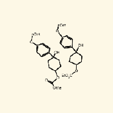 CCCCCCCCOc1ccc(C2(O)CCC(OC(=O)OC)CC2)cc1.CCCCCCCCOc1ccc(C2(O)CCC(OC(=O)OCC)CC2)cc1